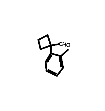 Cc1ccccc1C1(C=O)CCC1